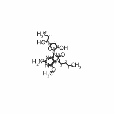 CCCCn1c(=O)n([C@@H]2O[C@H](C(O)CC)C[C@H]2O)c2nc(N)nc(OC)c21